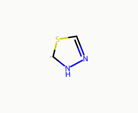 [CH]1NN=CS1